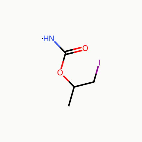 CC(CI)OC([NH])=O